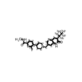 [2H]C([2H])([2H])C([2H])([2H])c1cc2ncc(CN3CC=C(c4ccc(C(=O)NC)nc4F)CC3)cc2[nH]c1=O